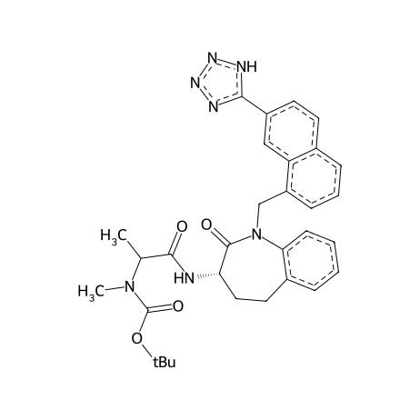 CC(C(=O)N[C@H]1CCc2ccccc2N(Cc2cccc3ccc(-c4nnn[nH]4)cc23)C1=O)N(C)C(=O)OC(C)(C)C